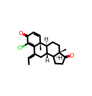 C/C=C1\C[C@@H]2[C@H](CC[C@]3(C)C(=O)CC[C@@H]23)[C@@]2(C)C=CC(=O)C(Cl)=C12